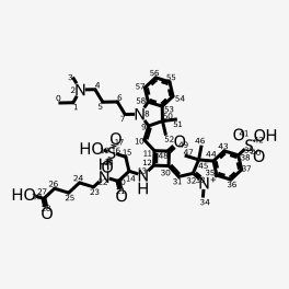 CCN(C)CCCCN1/C(=C/C2=C(NC(CS(=O)(=O)O)C(=O)NCCCCC(=O)O)C(=C/C3=[N+](C)c4ccc(S(=O)(=O)O)cc4C3(C)C)/C2=O)C(C)(C)c2ccccc21